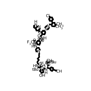 C#Cc1ccc([C@H](CO[Si](C)(C)C(C)(C)C)NC(=O)[C@@H]2C[C@@H](O)CN2C(=O)[C@@H](NC(=O)CCCCCCN2CCC(Nc3ccc(S(=O)(=O)NC(=O)c4ccc(N5CCN(CC6=C(c7ccc(Cl)cc7)CC(C)(C)CC6)CC5)cc4Oc4cnc5[nH]ccc5c4)cc3S(=O)(=O)C(F)(F)F)CC2)C(C)(C)C)cc1